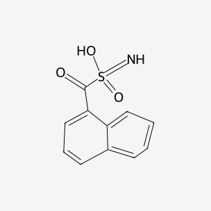 N=S(=O)(O)C(=O)c1cccc2ccccc12